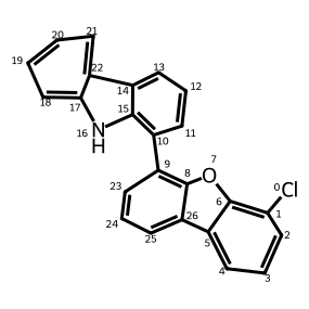 Clc1cccc2c1oc1c(-c3cccc4c3[nH]c3ccccc34)cccc12